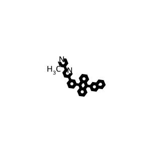 Cc1cnccc1-c1ccc(-c2cccc(-c3c4ccccc4c(-c4ccc5ccccc5c4)c4ccccc34)c2)cn1